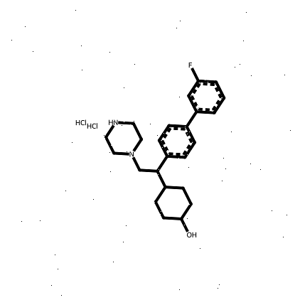 Cl.Cl.OC1CCC(C(CN2CCNCC2)c2ccc(-c3cccc(F)c3)cc2)CC1